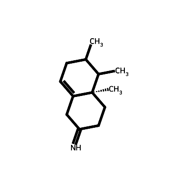 CC1CC=C2CC(=N)CC[C@]2(C)C1C